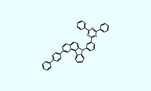 c1ccc(-c2ccc(-c3ccc4ccc5c(c4c3)c3ccccc3n5-c3cccc(-c4nc(-c5ccccc5)nc(-c5ccccc5)n4)c3)cc2)cc1